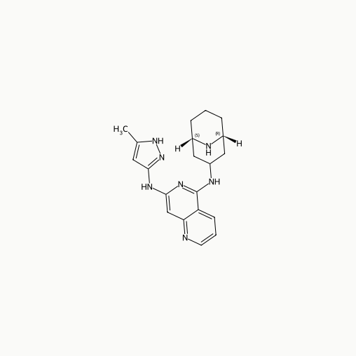 Cc1cc(Nc2cc3ncccc3c(NC3C[C@H]4CCC[C@@H](C3)N4)n2)n[nH]1